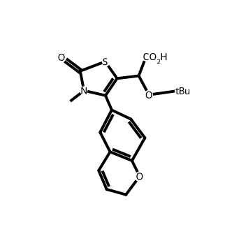 Cn1c(-c2ccc3c(c2)C=CCO3)c(C(OC(C)(C)C)C(=O)O)sc1=O